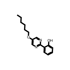 CCCCCCOc1cnc(-c2ccccc2O)nc1